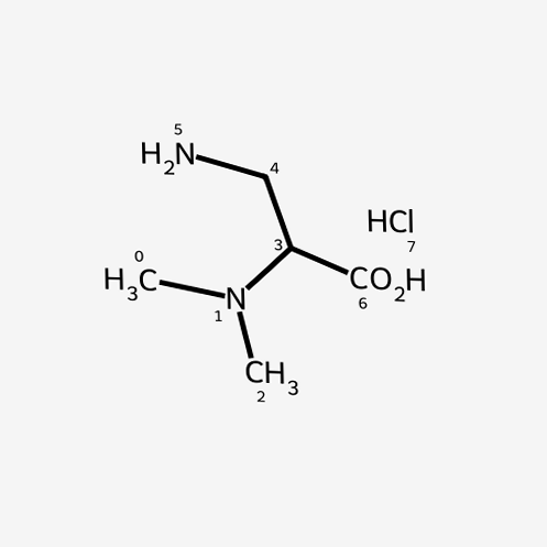 CN(C)C(CN)C(=O)O.Cl